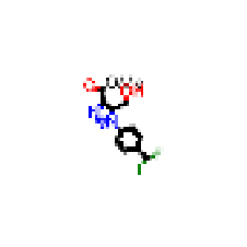 COC(=O)c1nnn(-c2ccc(C(F)F)cc2)c1CO